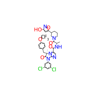 CC(NC(=O)c1cnc2n1[C@](C)(Cc1ccc(OC(F)(F)F)cc1)C(=O)N2c1cc(Cl)cc(Cl)c1)C(=O)N1CCCC(c2cc(O)no2)C1